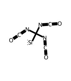 O=C=NC([Si])(N=C=O)N=C=O